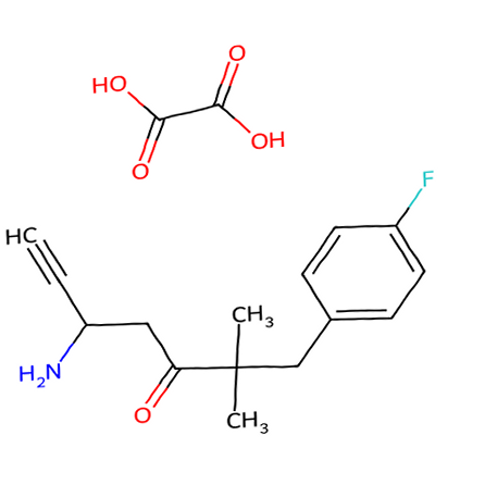 C#CC(N)CC(=O)C(C)(C)Cc1ccc(F)cc1.O=C(O)C(=O)O